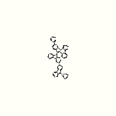 c1ccc(-c2ccc3c(-n4c5ccccc5c5cc(-c6ccc7c(c6)c6ccccc6n7-c6ccccc6)ccc54)c4c5ccccc5c5ccccc5n4c3c2)cc1